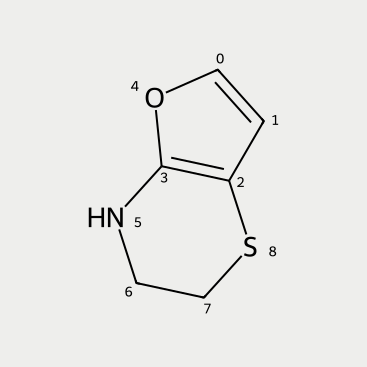 c1cc2c(o1)NCCS2